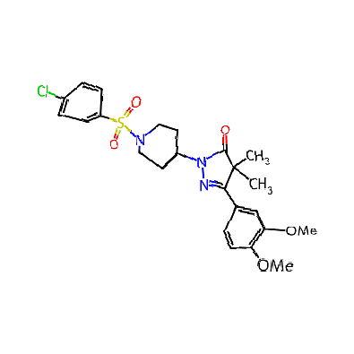 COc1ccc(C2=NN(C3CCN(S(=O)(=O)c4ccc(Cl)cc4)CC3)C(=O)C2(C)C)cc1OC